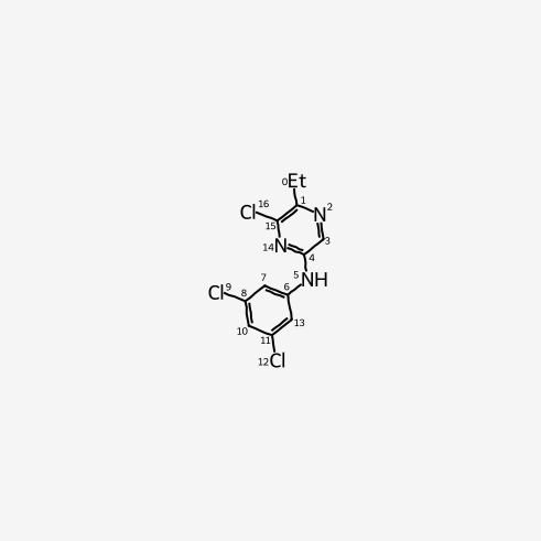 CCc1ncc(Nc2cc(Cl)cc(Cl)c2)nc1Cl